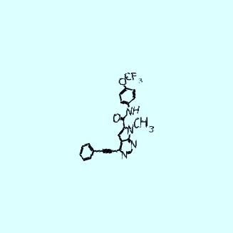 Cn1c(C(=O)Nc2ccc(OC(F)(F)F)cc2)cc2c(C#Cc3ccccc3)ncnc21